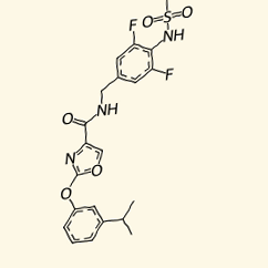 CC(C)c1cccc(Oc2nc(C(=O)NCc3cc(F)c(NS(C)(=O)=O)c(F)c3)co2)c1